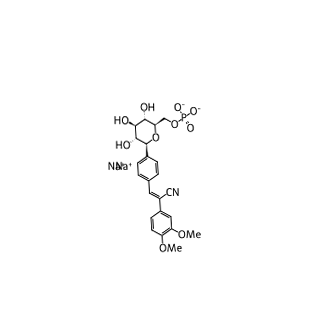 COc1ccc(/C(C#N)=C/c2ccc([C@@H]3O[C@H](COP(=O)([O-])[O-])[C@@H](O)[C@H](O)[C@H]3O)cc2)cc1OC.[Na+].[Na+]